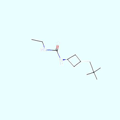 CCNC(=O)N[C@H]1C[C@H](CC(C)(C)C)C1